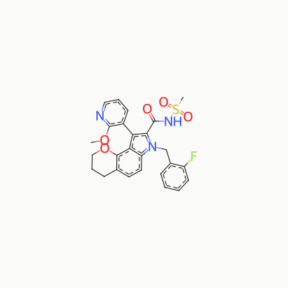 COc1ncccc1-c1c(C(=O)NS(C)(=O)=O)n(Cc2ccccc2F)c2ccc3c(c12)OCCC3